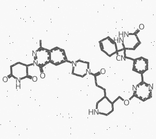 Cc1nn(C2CCC(=O)NC2=O)c(=O)c2cc(N3CCN(C(=O)CCC4CNCCC4COc4ccnc(-c5cccc(CC6(C7(C#N)C=CC=CC7)C=CC(=O)NN6)c5)n4)CC3)ccc12